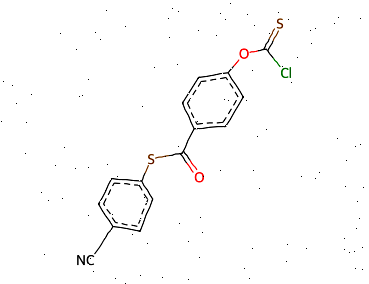 N#Cc1ccc(SC(=O)c2ccc(OC(=S)Cl)cc2)cc1